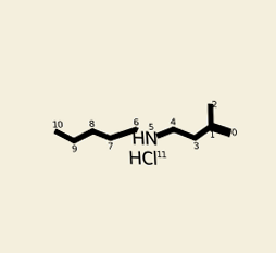 C=C(C)CCNCCCCC.Cl